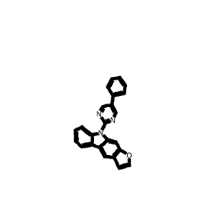 c1ccc(-c2cnc(-n3c4ccccc4c4cc5ccoc5cc43)nc2)cc1